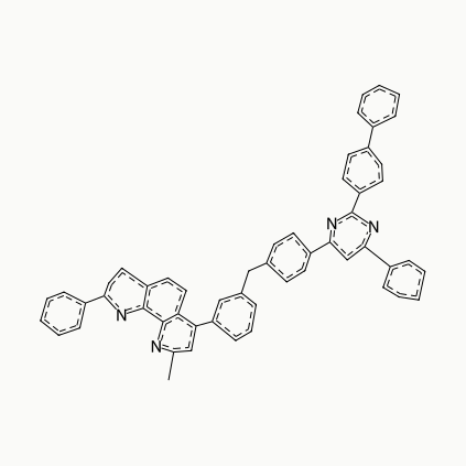 Cc1cc(-c2cccc(Cc3ccc(-c4cc(-c5ccccc5)nc(-c5ccc(-c6ccccc6)cc5)n4)cc3)c2)c2ccc3ccc(-c4ccccc4)nc3c2n1